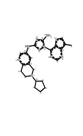 Cc1csc2c(-n3nc(Nc4cnc5c(c4)CN(C4CCCC4)CC5)nc3N)ncnc12